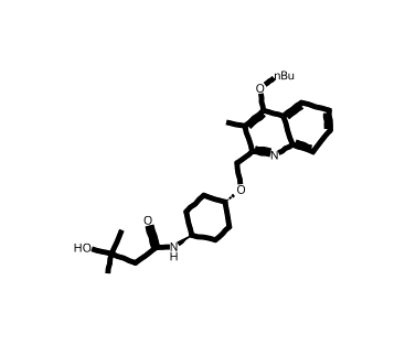 CCCCOc1c(C)c(CO[C@H]2CC[C@H](NC(=O)CC(C)(C)O)CC2)nc2ccccc12